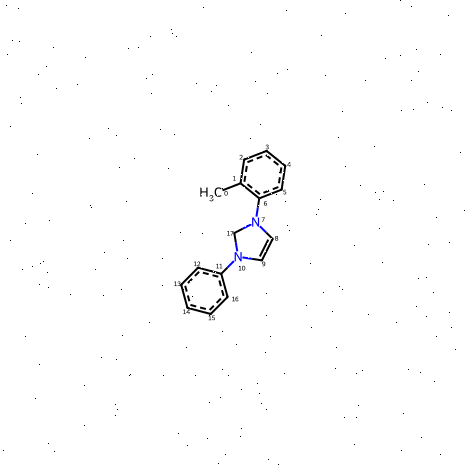 Cc1ccccc1N1C=CN(c2ccccc2)C1